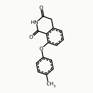 Cc1ccc(Oc2cccc3c2C(=O)NC(=O)C3)cc1